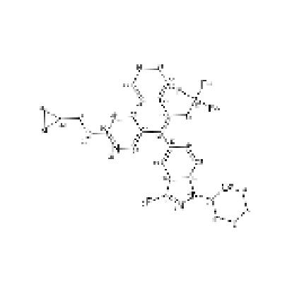 Fc1nn(C2CCCCO2)c2ccc(/C(=C(\CC(F)(F)F)c3ccccc3)c3ccc(OC[C]4CC4)nc3)cc12